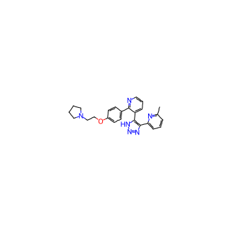 Cc1cccc(-c2nn[nH]c2-c2cccnc2-c2ccc(OCCN3CCCC3)cc2)n1